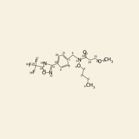 CCCCON(Cc1ccc(-c2noc(C(F)(F)F)n2)cc1)C(=O)CCOC